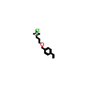 C=Cc1ccc(COCCC[Si](C)(C)Cl)cc1